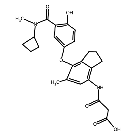 Cc1cc(NC(=O)CC(=O)O)c2c(c1Oc1ccc(O)c(C(=O)N(C)C3CCC3)c1)CCC2